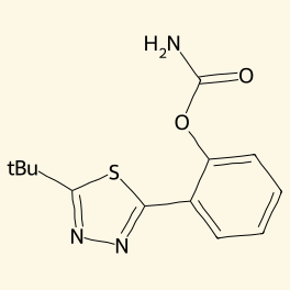 CC(C)(C)c1nnc(-c2ccccc2OC(N)=O)s1